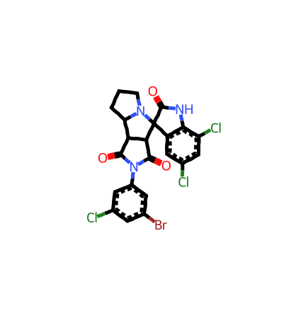 O=C1C2C3CCCN3C3(C(=O)Nc4c(Cl)cc(Cl)cc43)C2C(=O)N1c1cc(Cl)cc(Br)c1